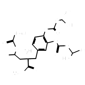 CCCC(C)C(=O)OC(C)C[C@@](N)(Cc1ccc(OC(=O)O[C@@H](C)C(C)C)c(OC(=O)OC(C)C(C)C)c1)C(=O)OC